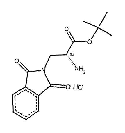 CC(C)(C)OC(=O)[C@H](N)CN1C(=O)c2ccccc2C1=O.Cl